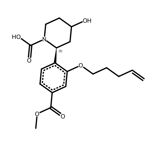 C=CCCCOc1cc(C(=O)OC)ccc1[C@@H]1CC(O)CCN1C(=O)O